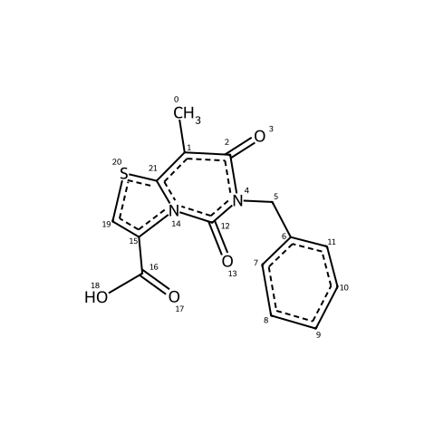 Cc1c(=O)n(Cc2ccccc2)c(=O)n2c(C(=O)O)csc12